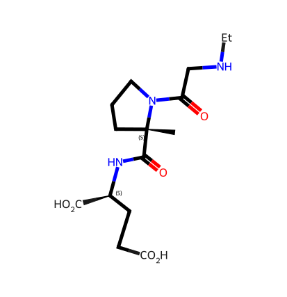 CCNCC(=O)N1CCC[C@@]1(C)C(=O)N[C@@H](CCC(=O)O)C(=O)O